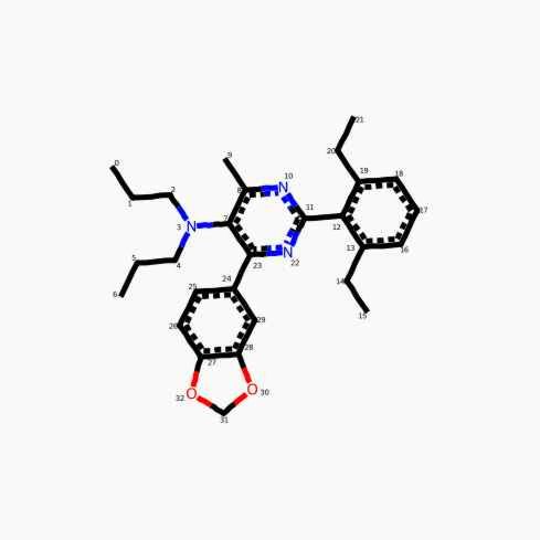 CCCN(CCC)c1c(C)nc(-c2c(CC)cccc2CC)nc1-c1ccc2c(c1)OCO2